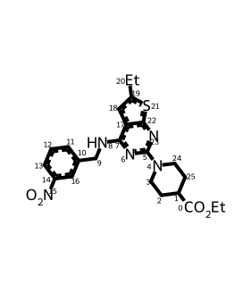 CCOC(=O)C1CCN(c2nc(NCc3cccc([N+](=O)[O-])c3)c3cc(CC)sc3n2)CC1